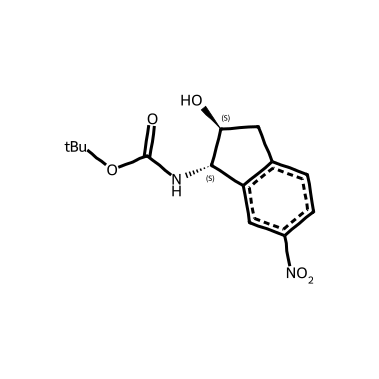 CC(C)(C)OC(=O)N[C@H]1c2cc([N+](=O)[O-])ccc2C[C@@H]1O